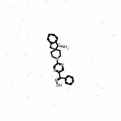 N[C@@H]1c2ccccc2CC12CCN(c1cnc(/C(=N/O)c3ccccc3)cn1)CC2